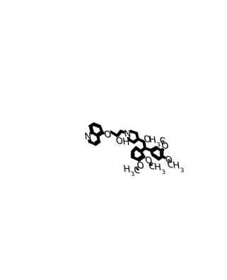 COc1ccc(C(C(=O)C2CCN(CC(O)COc3cccc4ncccc34)CC2)c2cccc(OC)c2OC)cc1OC